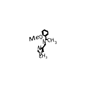 COc1ccccc1C(C)/N=C/c1cn(C)cn1